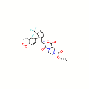 COC(=O)N1CCN(C(=O)/C=C/c2cc[c]c(C(F)(F)F)c2-c2ccc3c(c2)CCOO3)C(C(=O)O)C1